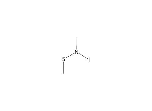 CSN(C)I